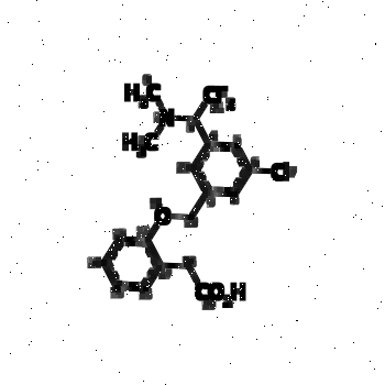 CN(C)C(c1cc(Cl)cc(COc2ccccc2CC(=O)O)c1)C(F)(F)F